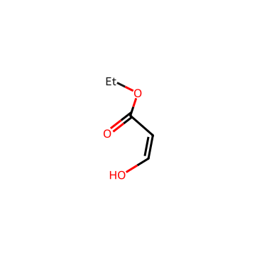 CCOC(=O)/C=C\O